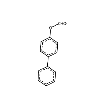 O=[C]Oc1ccc(-c2ccccc2)cc1